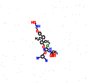 Cc1c(COc2nc(OCc3cc(C#N)cc(C#N)c3)c(CN[C@@](C)(CO)C(=O)O)cc2Cl)cccc1-c1cccc(-c2ccc(OCCNCCO)cc2)c1C